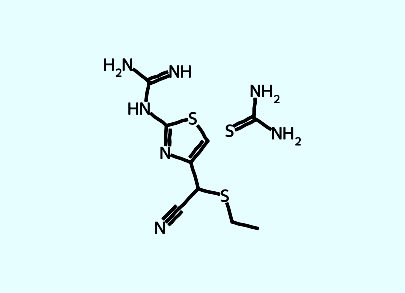 CCSC(C#N)c1csc(NC(=N)N)n1.NC(N)=S